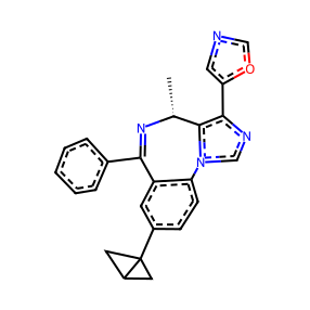 C[C@H]1N=C(c2ccccc2)c2cc(C34CC3C4)ccc2-n2cnc(-c3cnco3)c21